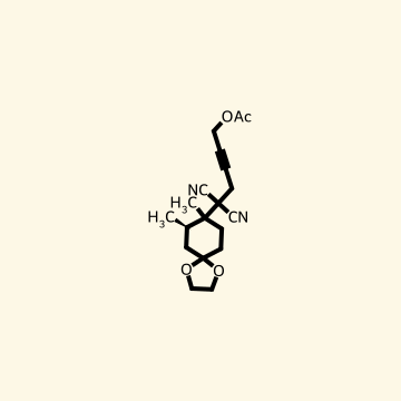 CC(=O)OCC#CCC(C#N)(C#N)C1(C)CCC2(C[C@H]1C)OCCO2